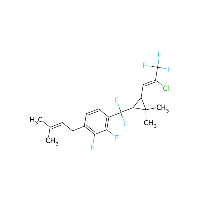 CC(C)=CCc1ccc(C(F)(F)C2C(C=C(Cl)C(F)(F)F)C2(C)C)c(F)c1F